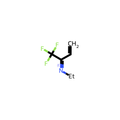 C=C/C(=N\CC)C(F)(F)F